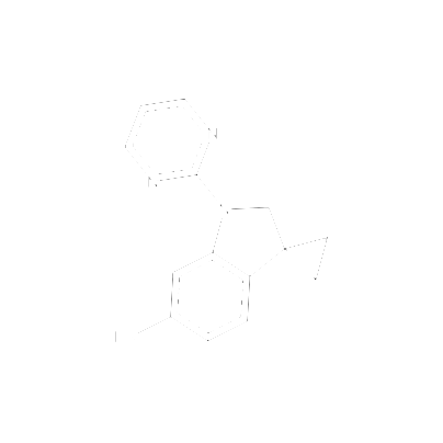 Sc1ccc2c(c1)N(c1ncccn1)CC21CC1